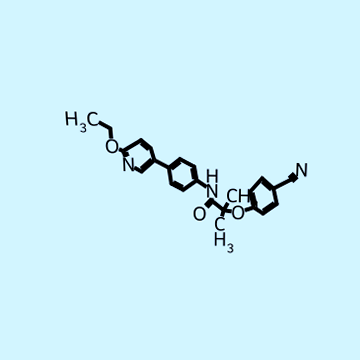 CCOc1ccc(-c2ccc(NC(=O)C(C)(C)Oc3ccc(C#N)cc3)cc2)cn1